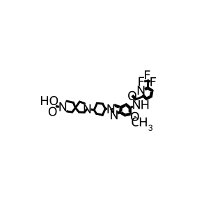 COc1cc2nn(C3CCC(N4CCC5(CCN(C(=O)O)CC5)CC4)CC3)cc2cc1NC(=O)c1cccc(C(F)(F)F)n1